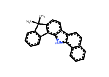 CC1(C)c2ccccc2-c2c1ccc1c2[nH]c2c3ccccc3ccc12